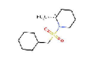 O=C(O)[C@@H]1CCCCN1S(=O)(=O)CC1CCCCC1